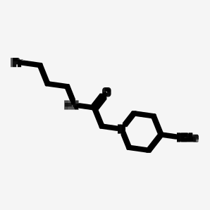 CNC1CCN(CC(=O)NCCCC(C)C)CC1